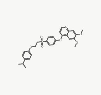 COc1cc2nccc(Oc3ccc(S(=O)(=O)CCOc4ccc(C(C)C)cc4)cc3)c2cc1OC